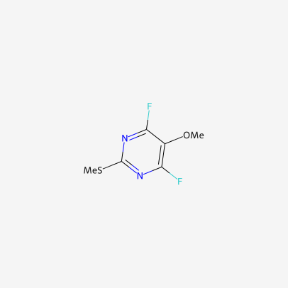 COc1c(F)nc(SC)nc1F